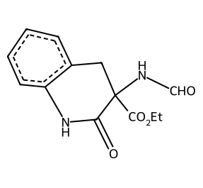 CCOC(=O)C1(NC=O)Cc2ccccc2NC1=O